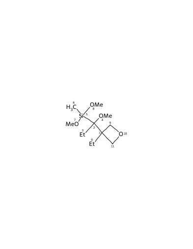 CCC1(C(CC)(OC)[Si](C)(OC)OC)COC1